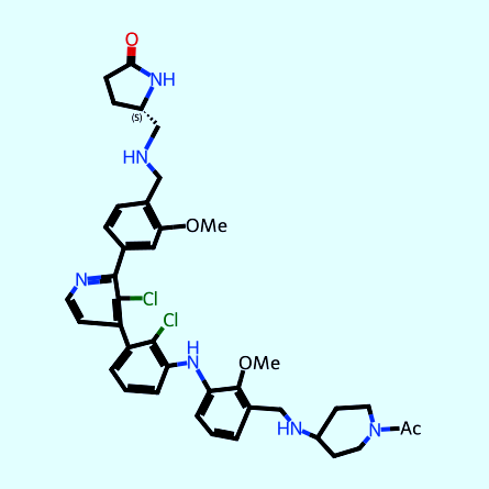 COc1cc(-c2nccc(-c3cccc(Nc4cccc(CNC5CCN(C(C)=O)CC5)c4OC)c3Cl)c2Cl)ccc1CNC[C@@H]1CCC(=O)N1